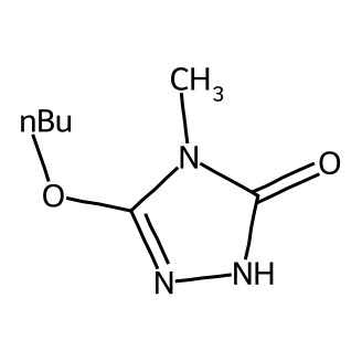 CCCCOc1n[nH]c(=O)n1C